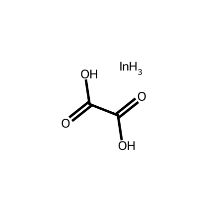 O=C(O)C(=O)O.[InH3]